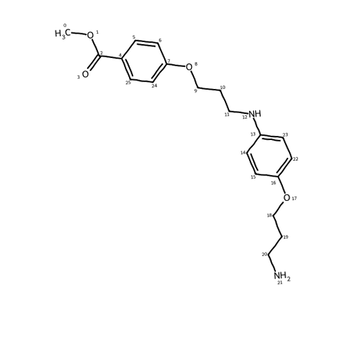 COC(=O)c1ccc(OCCCNc2ccc(OCCCN)cc2)cc1